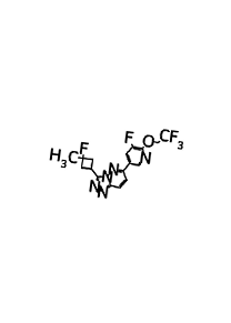 CC1(F)CC(c2nnc3ccc(-c4cnc(OCC(F)(F)F)c(F)c4)nn23)C1